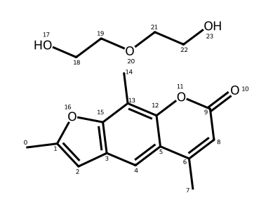 Cc1cc2cc3c(C)cc(=O)oc3c(C)c2o1.OCCOCCO